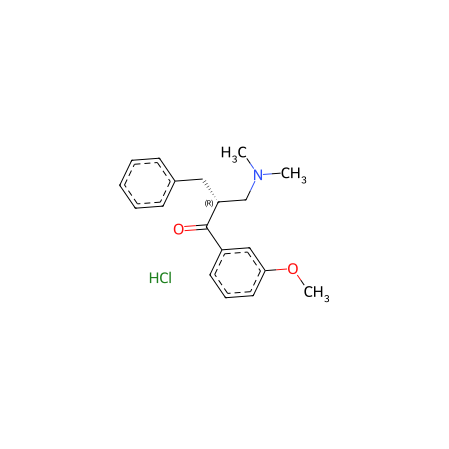 COc1cccc(C(=O)[C@H](Cc2ccccc2)CN(C)C)c1.Cl